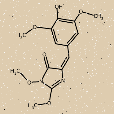 COC1=NC(=Cc2cc(OC)c(O)c(OC)c2)C(=O)N1OC